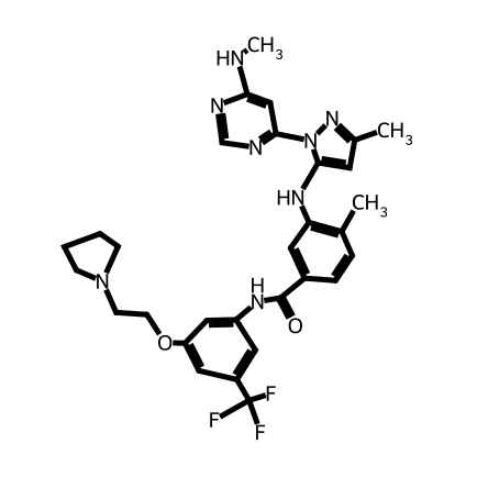 CNc1cc(-n2nc(C)cc2Nc2cc(C(=O)Nc3cc(OCCN4CCCC4)cc(C(F)(F)F)c3)ccc2C)ncn1